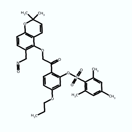 CCCOc1ccc(C(=O)COc2c(CN=O)ccc3c2C=CC(C)(C)O3)c(OS(=O)(=O)c2c(C)cc(C)cc2C)c1